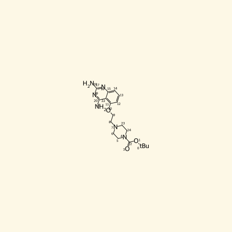 CC(C)(C)OC(=O)N1CCN(CCOc2cccc3nc(N)nc(N)c23)CC1